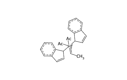 C[CH]=[Hf]([C](C)=O)([C](C)=O)([CH]1C=Cc2ccccc21)[CH]1C=Cc2ccccc21